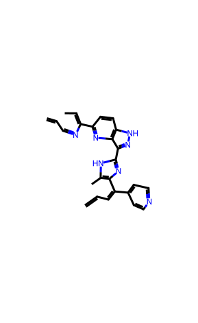 C=C/C=N\C(=C/C)c1ccc2[nH]nc(-c3nc(/C(=C\C=C)c4ccncc4)c(C)[nH]3)c2n1